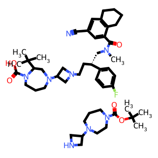 CC(C)(C)OC(=O)N1CCCN(C2CNC2)CC1.CN(C[C@@H](CCN1CC(N2CCCN(C(=O)O)C(C(C)(C)C)C2)C1)c1ccc(F)cc1)C(=O)c1cc(C#N)cc2c1CCCC2